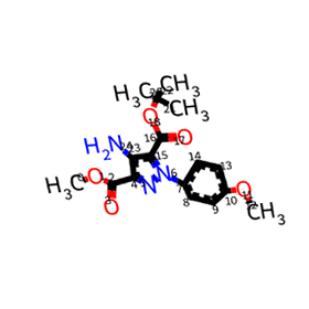 COC(=O)c1nn(-c2ccc(OC)cc2)c(C(=O)OC(C)(C)C)c1N